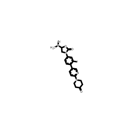 CC(=O)N(C)C1CN(c2ccc(-c3ccc(N4CCC(=O)CC4)nc3)c(F)c2)C(=O)O1